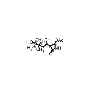 CC(=O)O[C@H]1NC(=O)C1[C@@H](C)CC(C)(C)[Si](C)(C)O